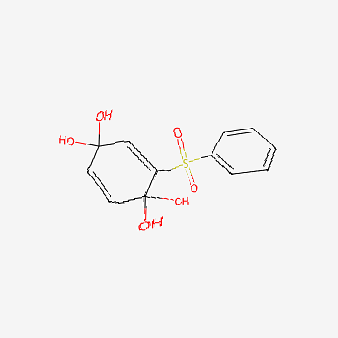 O=S(=O)(C1=CC(O)(O)C=CC1(O)O)c1ccccc1